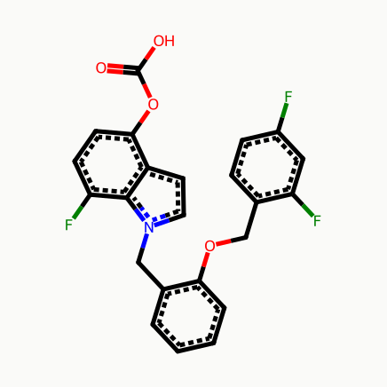 O=C(O)Oc1ccc(F)c2c1ccn2Cc1ccccc1OCc1ccc(F)cc1F